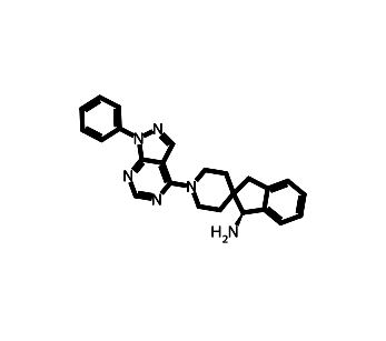 N[C@@H]1c2ccccc2CC12CCN(c1ncnc3c1cnn3-c1ccccc1)CC2